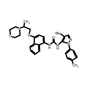 Cc1ccc(-n2ncc(C(C)(C)C)c2NC(=O)Nc2ccc(OCC(C)N3CCOCC3)c3ccccc23)cc1